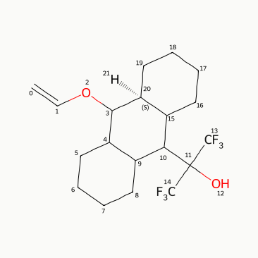 C=COC1C2CCCCC2C(C(O)(C(F)(F)F)C(F)(F)F)C2CCCC[C@@H]21